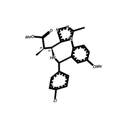 COC(=O)[C@H](C)[C@@H]1NC(c2ccc(Cl)cc2)c2cc(OC)ccc2-n2c(C)nnc21